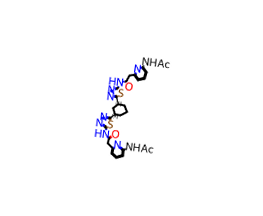 CC(=O)Nc1cccc(CC(=O)Nc2nnc([C@@H]3CCC[C@H](c4nnc(NC(=O)Cc5cccc(NC(C)=O)n5)s4)C3)s2)n1